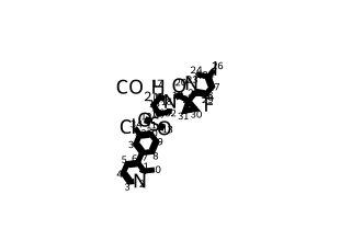 Cc1ncccc1-c1ccc(S(=O)(=O)[C@@H]2C[C@@H](C(=O)O)N(C(=O)C3(c4ncc(I)cc4F)CC3)C2)c(Cl)c1